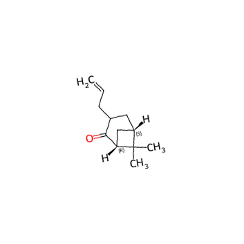 C=CCC1C[C@H]2C[C@@H](C1=O)C2(C)C